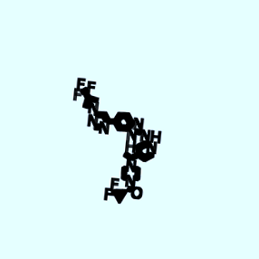 CC(c1ccnc(Nc2nc3ccc(-c4cc(N5CC(C(F)(F)F)C5)ncn4)cc3[nH]2)c1)N1CCN(C(=O)[C@@H]2CC2(F)F)CC1